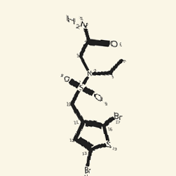 CCN(CC(N)=O)S(=O)(=O)Cc1cc(Br)sc1Br